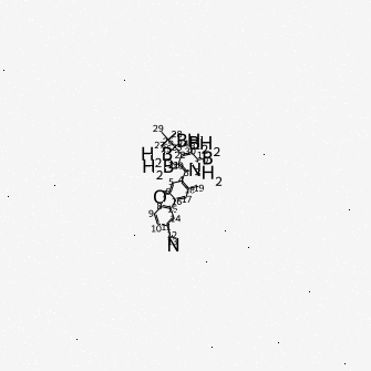 Bc1nc(-c2cc3oc4ccc(C#N)cc4c3cc2C)c(B)c(C(B)(B)C(C)(C)C)c1B